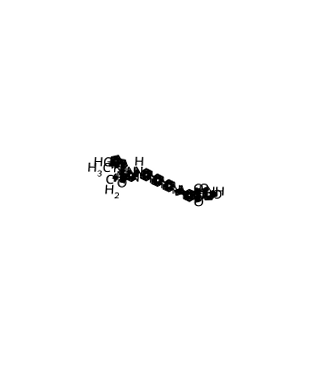 C=CCn1c(=O)c2cnc(Nc3ccc(N4CCC(N5CCC(N6CC(c7ccc8c(c7)C(=O)N(C7CCC(=O)NC7=O)C8=O)C6)CC5)CC4)cc3)nc2n1-c1ccc2c(n1)[C@@](O)(CC)CC2